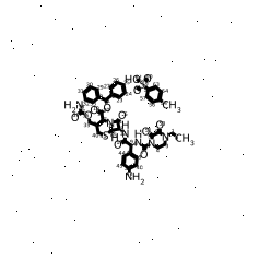 CCN1CCN(C(=O)N[C@@H](C(=O)N[C@@H]2C(=O)N3C(C(=O)OC(c4ccccc4)c4ccccc4)=C(COC(N)=O)CS[C@@H]23)c2ccc(N)cc2)C(=O)C1=O.Cc1ccc(S(=O)(=O)O)cc1